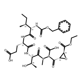 CCOC(=O)[C@H]1O[C@@H]1C(=O)N(C(=O)O)N(C)C(=O)[C@@H](NC(=O)[C@H](CCC(=O)O)NC(=O)[C@@H](NC(=O)OCc1ccccc1)[C@@H](C)CC)[C@@H](C)O